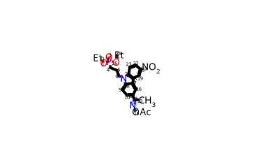 CCOP(=O)(CCCn1c2ccc(/C(C)=N/OC(C)=O)cc2c2cc([N+](=O)[O-])ccc21)OCC